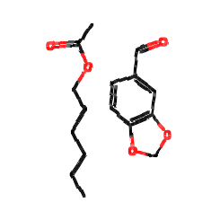 CCCCCCOC(C)=O.O=Cc1ccc2c(c1)OCO2